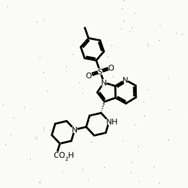 Cc1ccc(S(=O)(=O)n2cc([C@H]3CC(N4CCCC(C(=O)O)C4)CCN3)c3cccnc32)cc1